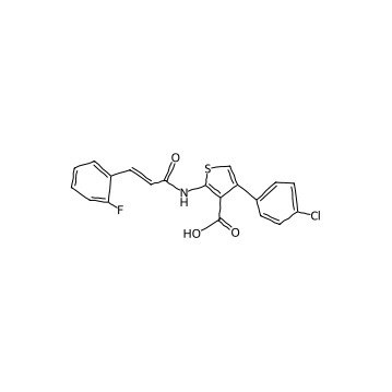 O=C(/C=C/c1ccccc1F)Nc1scc(-c2ccc(Cl)cc2)c1C(=O)O